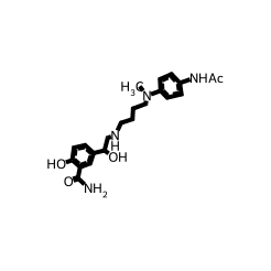 CC(=O)Nc1ccc(N(C)CCCCNCC(O)c2ccc(O)c(C(N)=O)c2)cc1